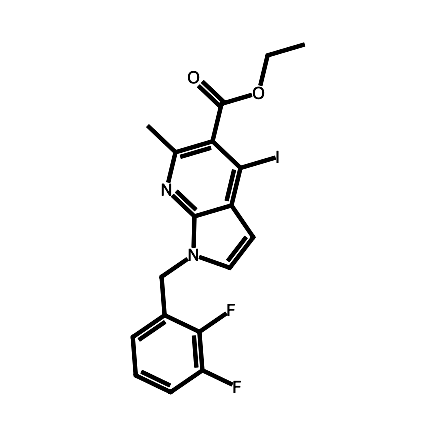 CCOC(=O)c1c(C)nc2c(ccn2Cc2cccc(F)c2F)c1I